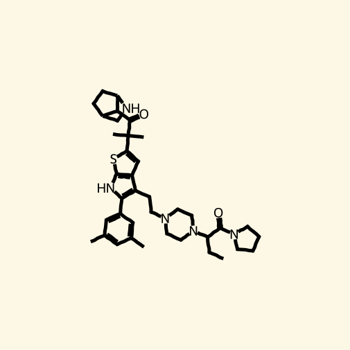 CCC(C(=O)N1CCCC1)N1CCN(CCc2c(-c3cc(C)cc(C)c3)[nH]c3sc(C(C)(C)C(=O)C4C5CCC4NC5)cc23)CC1